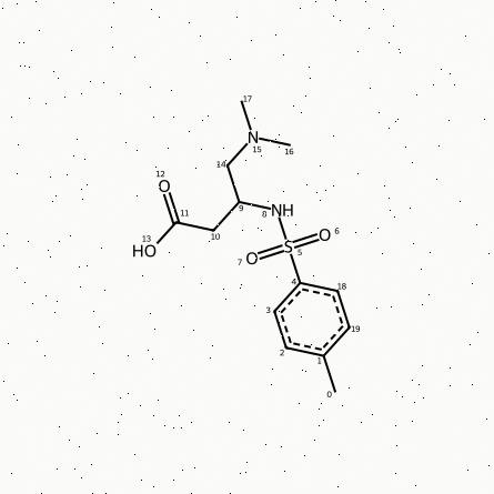 Cc1ccc(S(=O)(=O)NC(CC(=O)O)CN(C)C)cc1